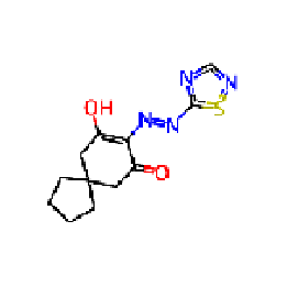 O=C1CC2(CCCC2)CC(O)=C1N=Nc1ncns1